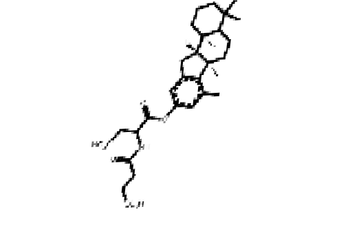 Cc1cc(OC(=O)C(CC(=O)O)NC(=O)CCC(=O)O)cc2c1[C@]1(C)CCC3C(C)(C)CCC[C@]3(C)[C@H]1C2